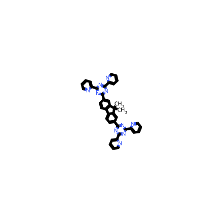 CC1(C)c2cc(-c3nc(-c4ccccn4)nc(-c4ccccn4)n3)ccc2-c2ccc(-c3nc(-c4ccccn4)nc(-c4ccccn4)n3)cc21